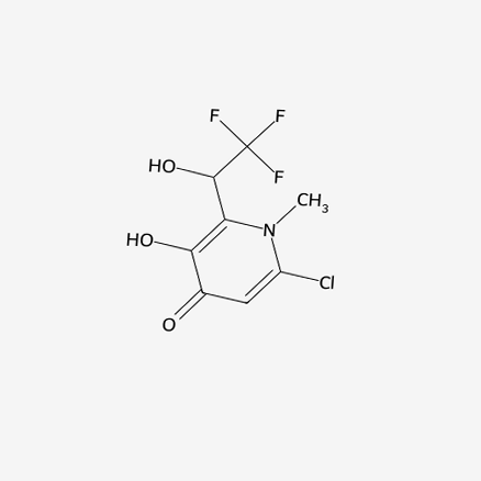 Cn1c(Cl)cc(=O)c(O)c1C(O)C(F)(F)F